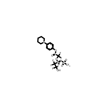 O=S(Oc1ccc(N2CCCCC2)cc1)C(F)(F)OS(=O)(=NS(=O)(=O)C(F)(F)F)C(F)(F)C(O)(F)F